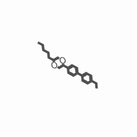 CCCCCC1COC(c2ccc(-c3ccc(CC)cc3)cc2)CO1